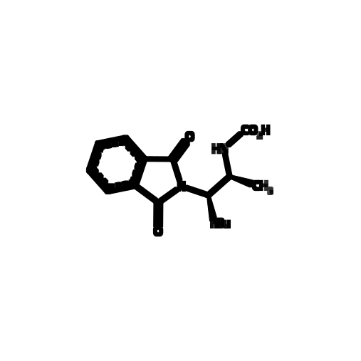 CCCC[C@H]([C@H](C)NC(=O)O)N1C(=O)c2ccccc2C1=O